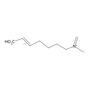 C=[N+](C)CCCC/C=C/C(=O)O